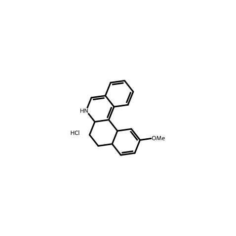 COC1=CC2C3=c4ccccc4=CNC3CCC2C=C1.Cl